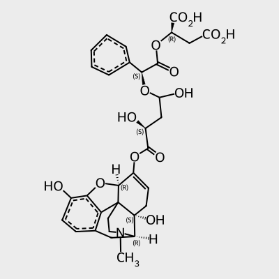 CN1CCC23c4c5ccc(O)c4O[C@H]2C(OC(=O)[C@@H](O)CC(O)O[C@H](C(=O)O[C@H](CC(=O)O)C(=O)O)c2ccccc2)=CC[C@@]3(O)[C@H]1C5